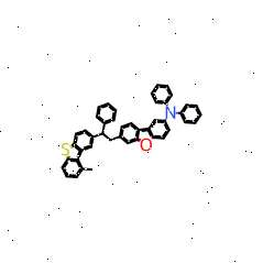 Cc1cccc2sc3ccc(C(Cc4ccc5c(c4)oc4ccc(N(c6ccccc6)c6ccccc6)cc45)c4ccccc4)cc3c12